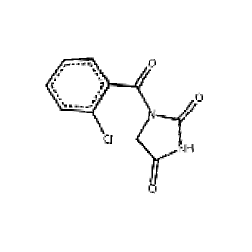 O=C1CN(C(=O)c2ccccc2Cl)C(=O)N1